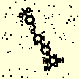 CC(C)C(=O)NC(=NO)N1CCN(c2ncc(OCc3ccc(S(C)(=O)=O)cc3)cn2)C(C)C1